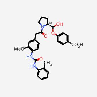 COc1cc(CC(=O)N2CCC[C@H]2C(O)Oc2ccc(C(=O)O)cc2)ccc1NC(=O)Nc1ccccc1C